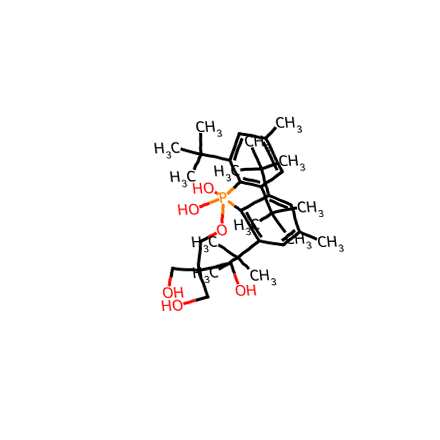 Cc1cc(C(C)(C)C)c(P(O)(O)(OCC(CO)(CO)CO)c2c(C(C)(C)C)cc(C)cc2C(C)(C)C)c(C(C)(C)C)c1